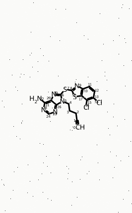 C#CCCCn1c(Sc2nc3ccc(Cl)c(Cl)c3s2)nc2c(N)ncnc21